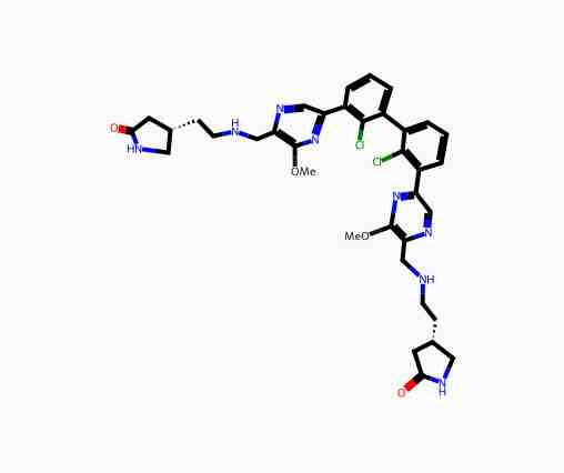 COc1nc(-c2cccc(-c3cccc(-c4cnc(CNCC[C@@H]5CNC(=O)C5)c(OC)n4)c3Cl)c2Cl)cnc1CNCC[C@@H]1CNC(=O)C1